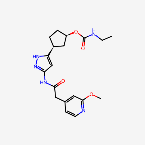 CCNC(=O)O[C@@H]1CC[C@H](c2cc(NC(=O)Cc3ccnc(OC)c3)n[nH]2)C1